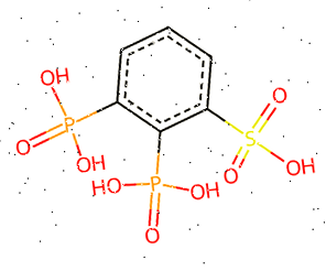 O=P(O)(O)c1cccc(S(=O)(=O)O)c1P(=O)(O)O